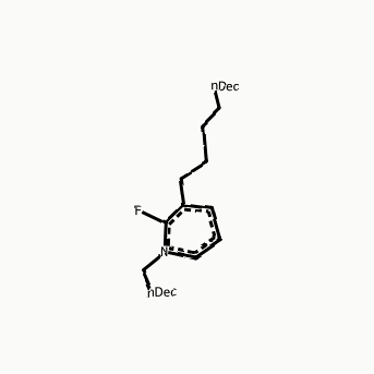 CCCCCCCCCCCCCCc1ccc[n+](CCCCCCCCCCC)c1F